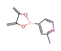 C=C1OB(C2=CC(C)=IC=C2)OC1=C